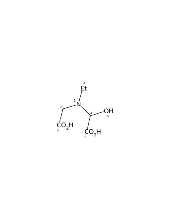 CCN(CC(=O)O)C(O)C(=O)O